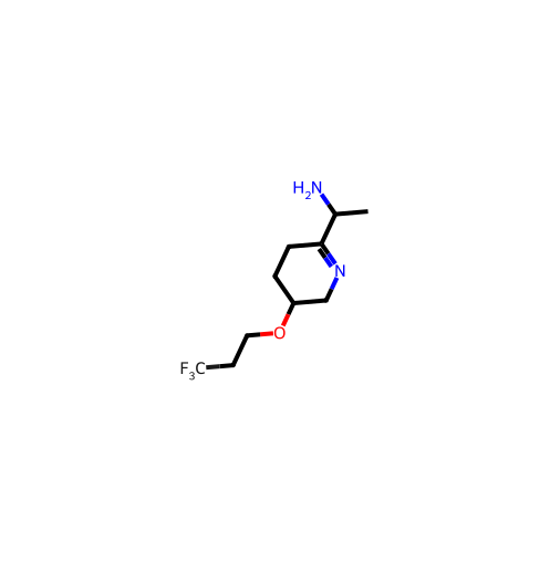 CC(N)C1=NCC(OCCC(F)(F)F)CC1